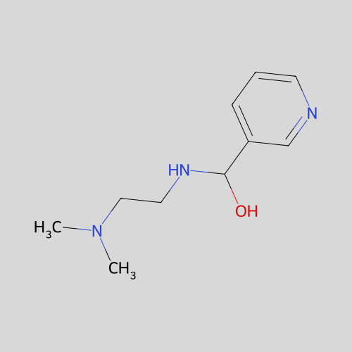 CN(C)CCNC(O)c1cccnc1